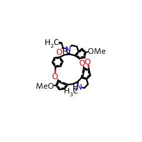 C=CC(=O)N1CCc2cc(OC)c3c4c2[C@@H]1Cc1ccc(cc1)Oc1cc(ccc1OC)C[C@H]1c2cc(c(cc2CCN1C)O3)O4